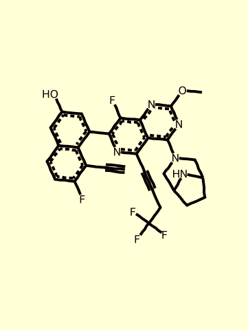 C#Cc1c(F)ccc2cc(O)cc(-c3nc(C#CCC(F)(F)F)c4c(N5CC6CCC(C5)N6)nc(OC)nc4c3F)c12